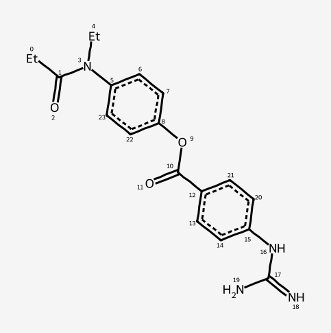 CCC(=O)N(CC)c1ccc(OC(=O)c2ccc(NC(=N)N)cc2)cc1